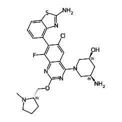 CN1CCC[C@H]1COc1nc(N2C[C@H](N)C[C@H](O)C2)c2cc(Cl)c(-c3cccc4sc(N)nc34)c(F)c2n1